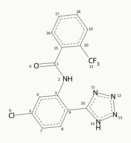 O=C(Nc1cc(Cl)ccc1-c1nnn[nH]1)c1ccccc1C(F)(F)F